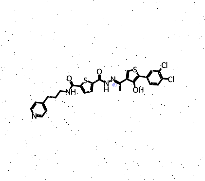 C/C(=N\NC(=O)c1ccc(C(=O)NCCCc2ccncc2)s1)c1csc(-c2ccc(Cl)c(Cl)c2)c1O